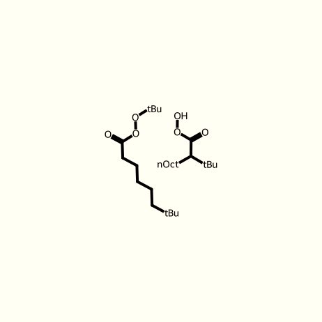 CC(C)(C)CCCCCC(=O)OOC(C)(C)C.CCCCCCCCC(C(=O)OO)C(C)(C)C